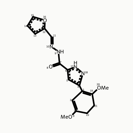 COC1=CC(c2cc(C(=O)N/N=C/c3ccco3)[nH]n2)=C(OC)CC1